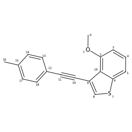 COc1cccc2scc(C#Cc3ccc(C)cc3)c12